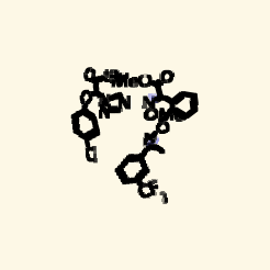 CC(C)(C)C(=O)C(Oc1ccc(Cl)cc1)n1cncn1.CO/N=C(/C(=O)OC)c1ccccc1CO/N=C(\C)c1cccc(C(F)(F)F)c1